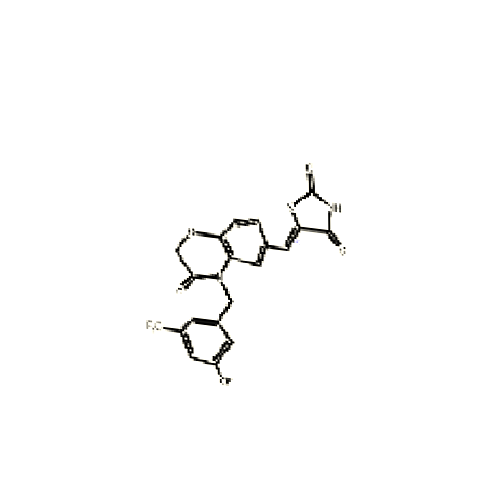 O=C1NC(=O)/C(=C/c2ccc3c(c2)N(Cc2cc(C(F)(F)F)cc(C(F)(F)F)c2)C(=O)CO3)S1